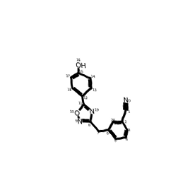 N#Cc1cccc(Cc2noc(-c3ccc(O)cc3)n2)c1